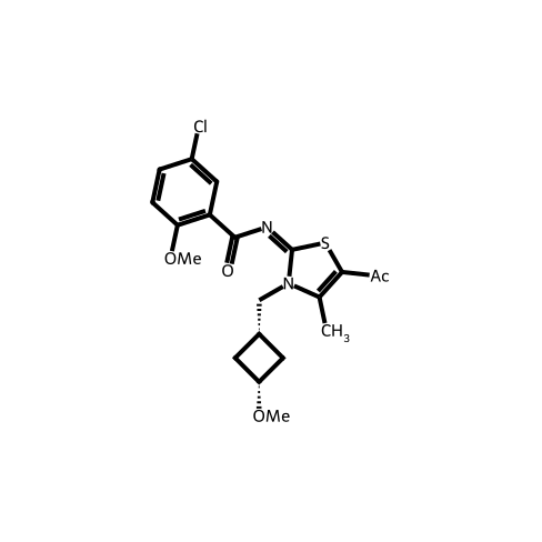 COc1ccc(Cl)cc1C(=O)N=c1sc(C(C)=O)c(C)n1C[C@H]1C[C@@H](OC)C1